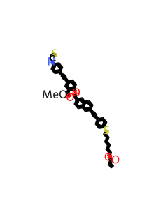 C=CC(=O)OCCCCCCSc1ccc(C#Cc2ccc3cc(COc4ccc(C#Cc5ccc(N=C=S)cc5)cc4C(=O)OC)ccc3c2)cc1